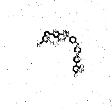 CNc1cc(-c2ccc3cc(C#N)cnn23)ncc1-c1nnc([C@H]2CC[C@H](CN3CCN(c4ccc([C@@H]5CCC(=O)NC5=O)cn4)CC3)CC2)s1